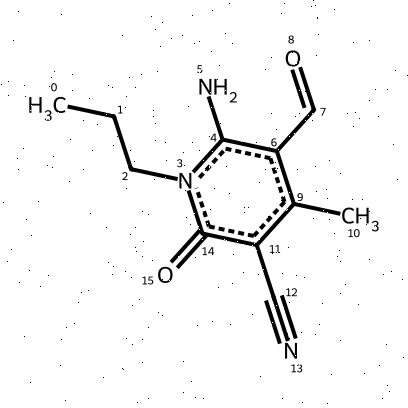 CCCn1c(N)c(C=O)c(C)c(C#N)c1=O